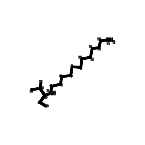 CCC(NCCCCCCCCCCCN)C(C)C